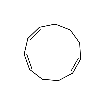 C1=C\CC/C=C\CCC\C=C/1